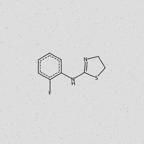 Fc1ccccc1NC1=NCCS1